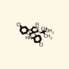 CC(C)(C)C[C@H]1NC[C@H](c2cccc(Cl)c2)[C@@]12C(=O)Nc1cc(Cl)ccc12